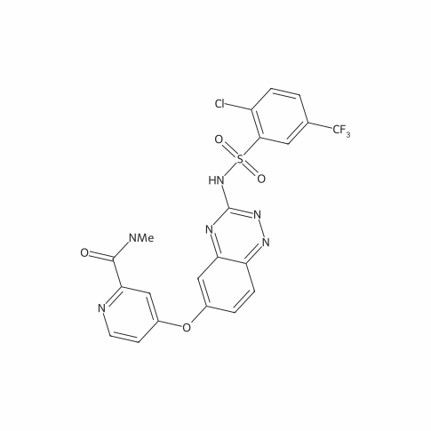 CNC(=O)c1cc(Oc2ccc3nnc(NS(=O)(=O)c4cc(C(F)(F)F)ccc4Cl)nc3c2)ccn1